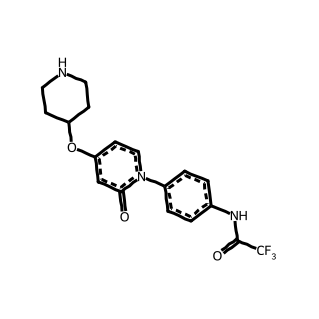 O=C(Nc1ccc(-n2ccc(OC3CCNCC3)cc2=O)cc1)C(F)(F)F